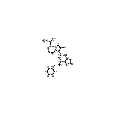 Cc1cn2c(C(N)=O)cccc2c1C1N=C(NCc2ccccc2)c2occc2N1